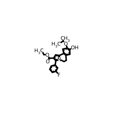 CCOC(=O)c1cc2n(c1-c1cccc(F)c1)CCc1cc(O)c(OC(C)C)cc1-2